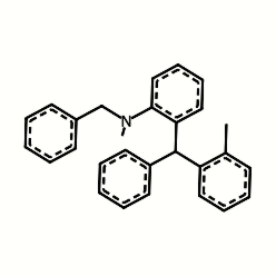 Cc1ccccc1C(c1ccccc1)c1ccccc1N(C)Cc1ccccc1